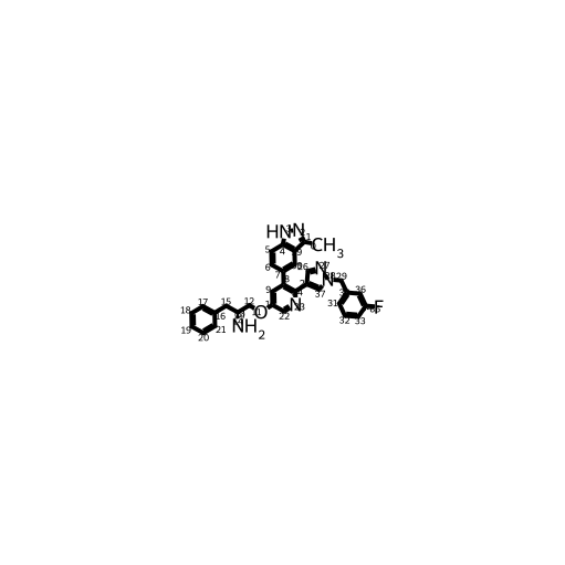 Cc1n[nH]c2ccc(-c3cc(OC[C@@H](N)Cc4ccccc4)cnc3-c3cnn(Cc4cccc(F)c4)c3)cc12